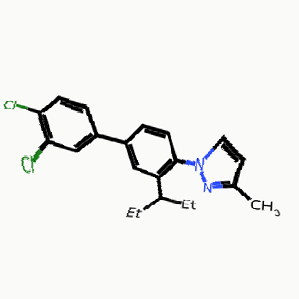 CCC(CC)c1cc(-c2ccc(Cl)c(Cl)c2)ccc1-n1ccc(C)n1